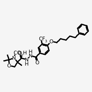 CC1(C)OCC(C)(C(=O)NNC(=O)c2ccc(OCCCCCc3ccccc3)c(C(F)(F)F)c2)N1C(=O)O